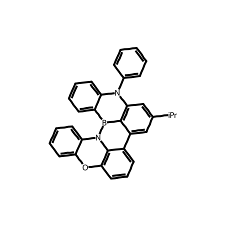 CC(C)c1cc2c3c(c1)N(c1ccccc1)c1ccccc1B3N1c3ccccc3Oc3cccc-2c31